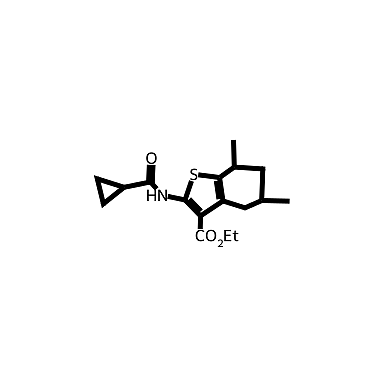 CCOC(=O)c1c(NC(=O)C2CC2)sc2c1CC(C)CC2C